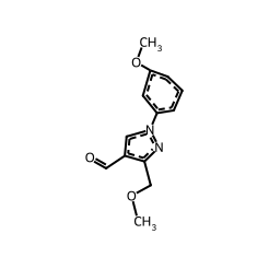 COCc1nn(-c2cccc(OC)c2)cc1C=O